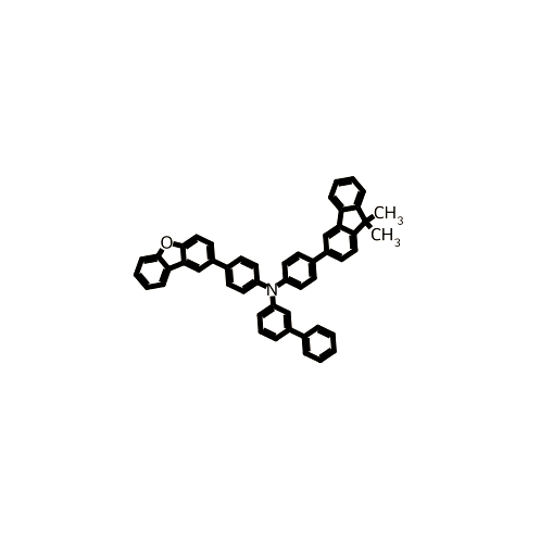 CC1(C)c2ccccc2-c2cc(-c3ccc(N(c4ccc(-c5ccc6oc7ccccc7c6c5)cc4)c4cccc(-c5ccccc5)c4)cc3)ccc21